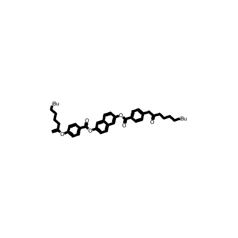 C=C(CCCCC(C)CC)Oc1ccc(C(=O)Oc2ccc3cc(OC(=O)c4ccc(CC(=O)CCCCC(C)CC)cc4)ccc3c2)cc1